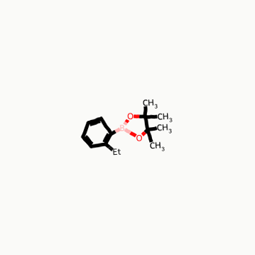 CCc1ccc[c]c1B1OC(C)(C)C(C)(C)O1